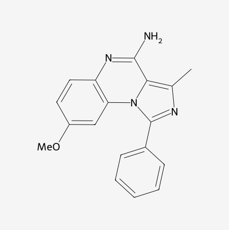 COc1ccc2nc(N)c3c(C)nc(-c4ccccc4)n3c2c1